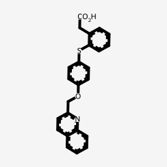 O=C(O)Cc1ccccc1Sc1ccc(OCc2ccc3ccccc3n2)cc1